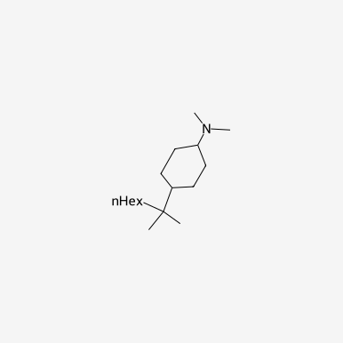 CCCCCCC(C)(C)C1CCC(N(C)C)CC1